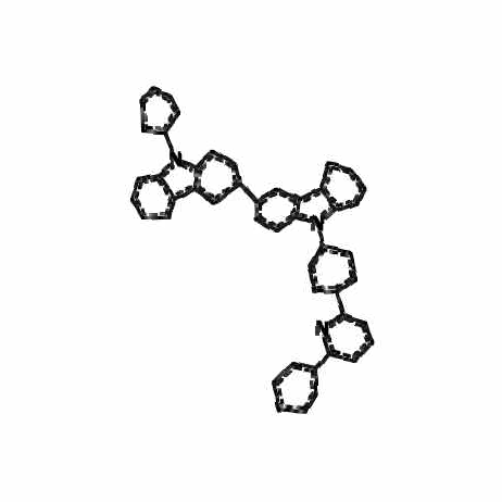 c1ccc(-c2cccc(-c3ccc(-n4c5ccccc5c5cc(-c6ccc7c(c6)c6ccccc6n7-c6ccccc6)ccc54)cc3)n2)cc1